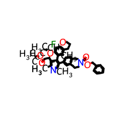 Cc1nc(C)c([C@H](OC(C)(C)C)C(=O)OC(C)C)c(-c2cc(F)c3c(c2C)CCCO3)c1-c1ccc2c(c1)CCN(C(=O)OCc1ccccc1)C2